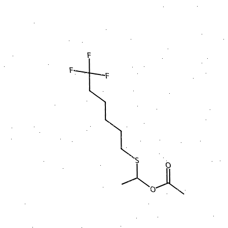 CC(=O)OC(C)SCCCCCC(F)(F)F